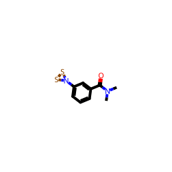 CN(C)C(=O)c1cccc(-n2ss2)c1